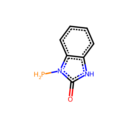 O=c1[nH]c2ccccc2n1P